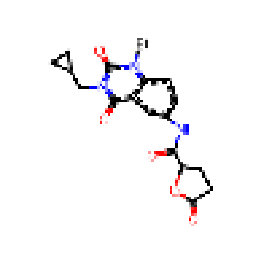 CCn1c(=O)n(CC2CC2)c(=O)c2cc(NC(=O)C3CCC(=O)O3)ccc21